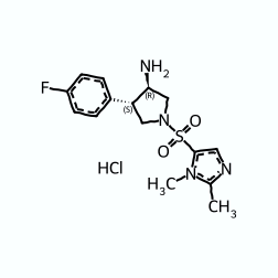 Cc1ncc(S(=O)(=O)N2C[C@H](c3ccc(F)cc3)[C@@H](N)C2)n1C.Cl